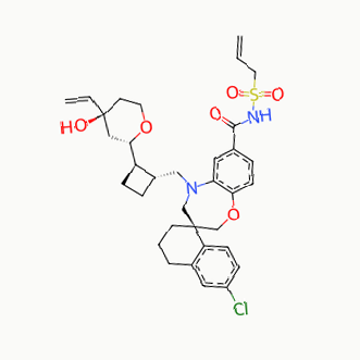 C=CCS(=O)(=O)NC(=O)c1ccc2c(c1)N(C[C@@H]1CC[C@H]1[C@@H]1C[C@](O)(C=C)CCO1)C[C@@]1(CCCc3cc(Cl)ccc31)CO2